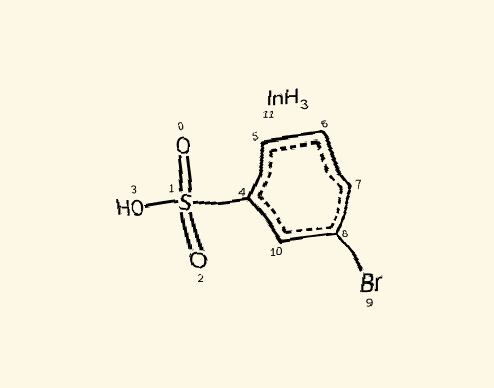 O=S(=O)(O)c1cccc(Br)c1.[InH3]